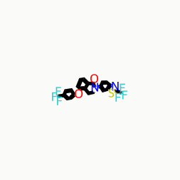 O=C1c2cccc(Oc3ccc(C(F)(F)F)cc3)c2CCN1c1ccc2nc(C(F)(F)F)sc2c1